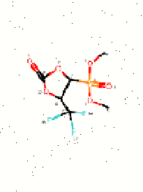 COP(=O)(OC)C1OC(=O)OC1C(F)(F)F